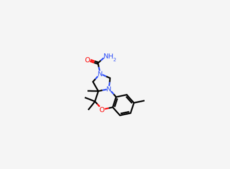 Cc1ccc2c(c1)N1CN(C(N)=O)CC1(C)C(C)(C)O2